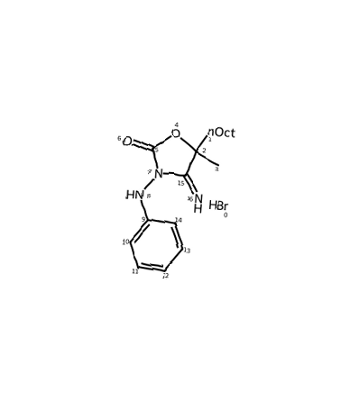 Br.CCCCCCCCC1(C)OC(=O)N(Nc2ccccc2)C1=N